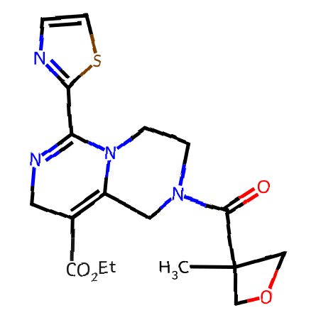 CCOC(=O)C1=C2CN(C(=O)C3(C)COC3)CCN2C(c2nccs2)=NC1